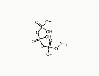 NOP(=O)(O)OP(=O)(O)OP(=O)(O)O